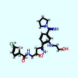 N=C(c1ccc(C2=NOC(CNC(=O)c3ccc(Cl)s3)C2)c(NCCO)c1)N1CCCC1